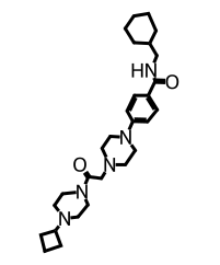 O=C(NCC1CCCCC1)c1ccc(N2CCN(CC(=O)N3CCN(C4CCC4)CC3)CC2)cc1